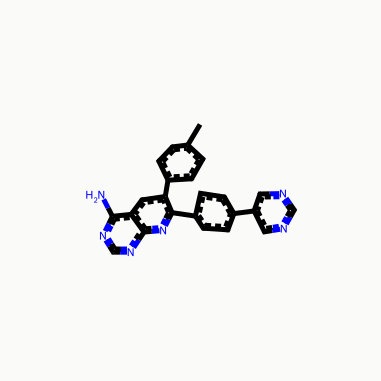 Cc1ccc(-c2cc3c(N)ncnc3nc2-c2ccc(-c3cncnc3)cc2)cc1